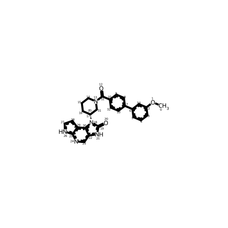 COc1cccc(-c2ccc(C(=O)N3CCC[C@@H](n4c(=O)[nH]c5cnc6[nH]ccc6c54)C3)cc2)c1